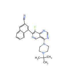 CC(C)(C)N1CCN(c2ncnc3c(F)c(-c4cc(C#N)cc5ccccc45)ncc23)CC1